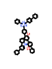 c1ccc(-c2ccc(-c3nc(-c4ccccc4)nc(-c4ccc5c(c4)oc4cc(-c6ccc7c(oc8ccccc87)c6-n6c7ccccc7c7cc(-c8ccccc8)ccc76)ccc45)n3)cc2)cc1